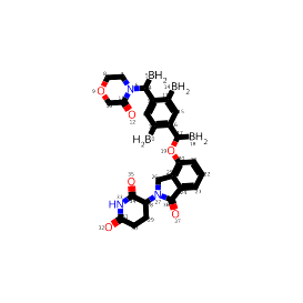 Bc1cc(C(B)N2CCOCC2=O)c(B)cc1C(B)Oc1cccc2c1CN(C1CCC(=O)NC1=O)C2=O